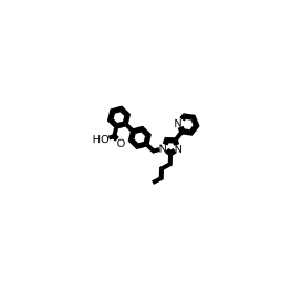 CCCCc1nc(-c2ccccn2)cn1Cc1ccc(-c2ccccc2C(=O)O)cc1